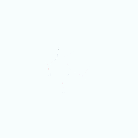 CCO[SiH3].CO[SiH](OC)OC